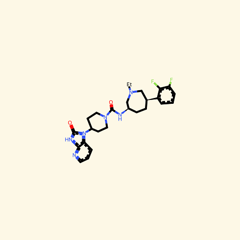 CCN1C[C@H](NC(=O)N2CCC(n3c(=O)[nH]c4ncccc43)CC2)CC[C@H](c2cccc(F)c2F)C1